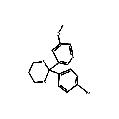 COc1cncc(C2(c3ccc(Br)cc3)SCCCS2)c1